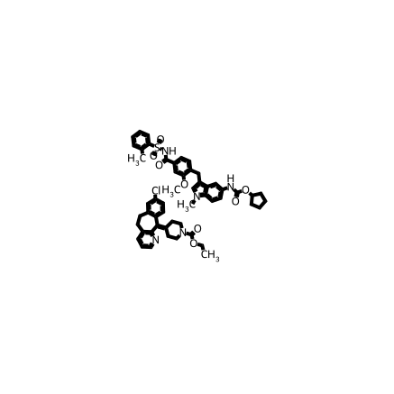 CCOC(=O)N1CCC(=C2c3ccc(Cl)cc3CCc3cccnc32)CC1.COc1cc(C(=O)NS(=O)(=O)c2ccccc2C)ccc1Cc1cn(C)c2ccc(NC(=O)OC3CCCC3)cc12